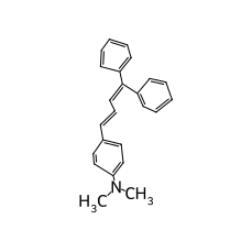 CN(C)c1ccc(C=CC=C(c2ccccc2)c2ccccc2)cc1